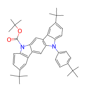 CC(C)(C)OC(=O)n1c2ccc(C(C)(C)C)cc2c2cc3c(cc21)c1cc(C(C)(C)C)ccc1n3-c1ccc(C(C)(C)C)cc1